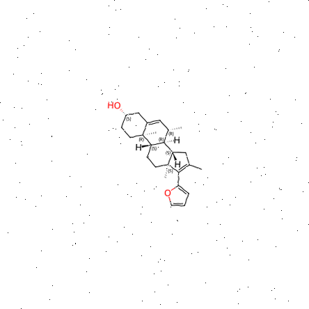 CC1=C(c2ccco2)[C@@]2(C)CC[C@H]3[C@@H]([C@@H](C)C=C4C[C@@H](O)CC[C@@]43C)[C@@H]2C1